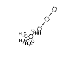 COc1cc(C(=O)Nc2ccc(C#Cc3ccc(C#Cc4ccccc4)cc3)cc2)cc(OC)c1OC